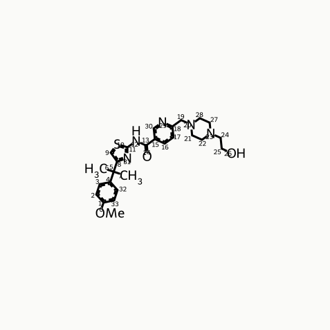 COc1ccc(C(C)(C)c2csc(NC(=O)c3ccc(CN4CCN(CCO)CC4)nc3)n2)cc1